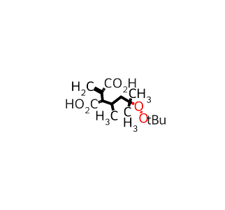 C=C(C(=O)O)C(C(=O)O)C(C)CC(C)(C)OOC(C)(C)C